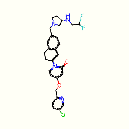 O=c1cc(OCc2ccc(Cl)cn2)ccn1C1=Cc2ccc(CN3CC[C@@H](NCC(F)F)C3)cc2CC1